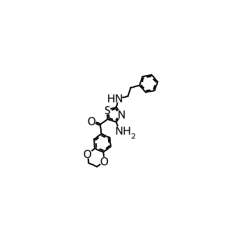 Nc1nc(NCCc2ccccc2)sc1C(=O)c1ccc2c(c1)OCCO2